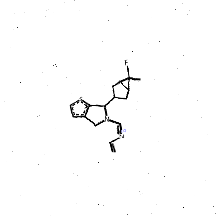 C=C/N=C\N1Cc2ccsc2C1C1CC2C(C1)C2(C)F